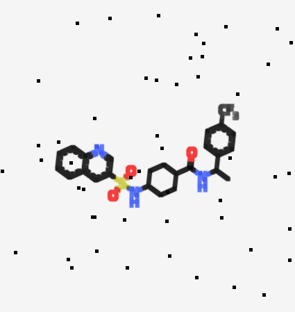 CC(NC(=O)C1CCC(NS(=O)(=O)c2cnc3ccccc3c2)CC1)c1ccc(C(F)(F)F)cc1